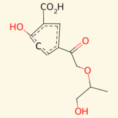 CC(CO)OCC(=O)c1ccc(O)c(C(=O)O)c1